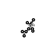 C1=C(c2ccccc2)SC2NC(n3c4ccc(-c5ccc6c(c5)c5ccccc5n6-c5ccccc5)cc4c4c5ccccc5ccc43)=NC(c3ccccc3)=C12